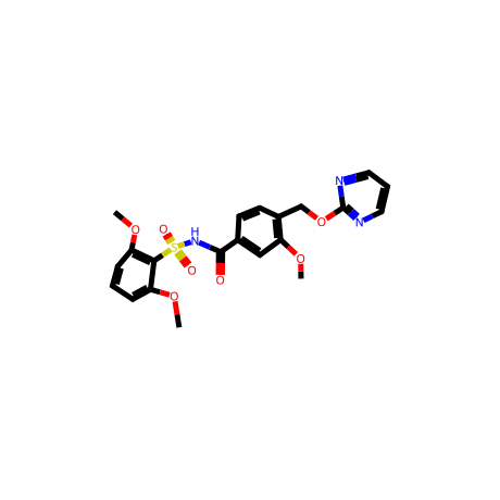 COc1cc(C(=O)NS(=O)(=O)c2c(OC)cccc2OC)ccc1COc1ncccn1